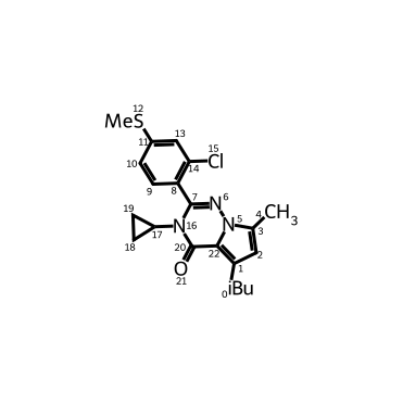 CCC(C)c1cc(C)n2nc(-c3ccc(SC)cc3Cl)n(C3CC3)c(=O)c12